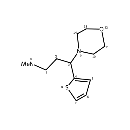 CNCCC(c1cccs1)N1CCOCC1